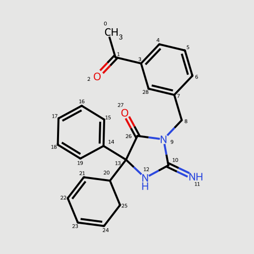 CC(=O)c1cccc(CN2C(=N)NC(c3ccccc3)(C3C=CC=CC3)C2=O)c1